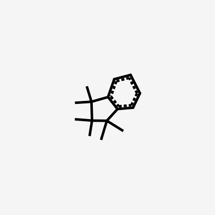 CC1(C)c2ccccc2C(C)(C)C1(C)C